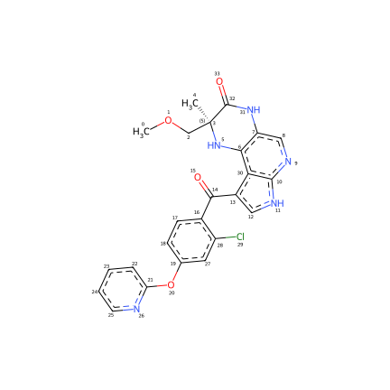 COC[C@]1(C)Nc2c(cnc3[nH]cc(C(=O)c4ccc(Oc5ccccn5)cc4Cl)c23)NC1=O